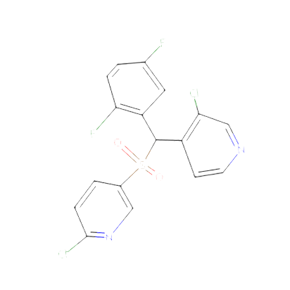 O=S(=O)(c1ccc(Cl)nc1)C(c1cc(F)ccc1F)c1ccncc1Cl